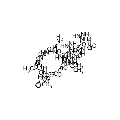 C=NCC(N)C[C@@H]1NC(=O)[C@@H](NC(=O)[C@H](CC(C)C)NC(=O)[C@H](CCCNC(=N)N)NC(=O)[C@@H]2CCCN2C(=O)[C@H](CCCNC(=N)N)NC(=O)[C@@H]2CCC(=O)N2)CSCC(=O)CSC[C@@H](C(=O)N[C@@H](Cc2ccccc2)C(C)=O)NC(=O)[C@H](CCCC)NC(=O)[C@@H]2CCCN2C(=O)CNC(=O)[C@H](CCCCN)NC1=O